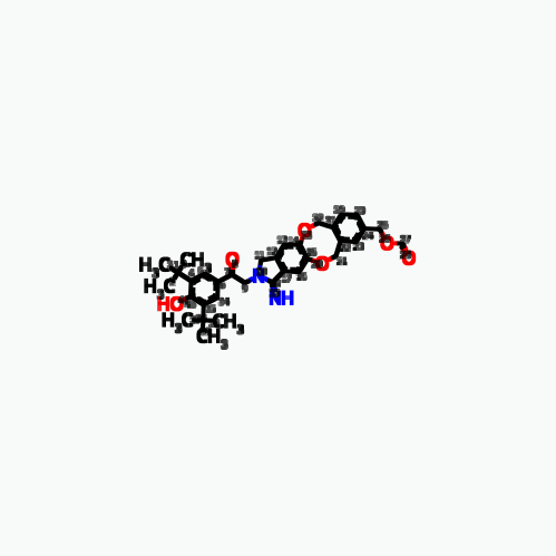 CC(C)(C)c1cc(C(=O)CN2Cc3cc4c(cc3C2=N)OCc2cc(COC=O)ccc2CO4)cc(C(C)(C)C)c1O